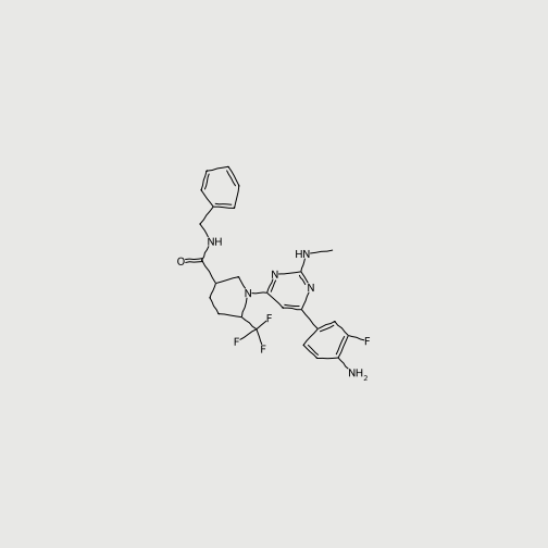 CNc1nc(-c2ccc(N)c(F)c2)cc(N2CC(C(=O)NCc3ccccc3)CCC2C(F)(F)F)n1